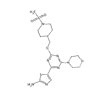 CS(=O)(=O)N1CCC(COc2nc(-c3cnc(N)s3)nc(N3CCOCC3)n2)CC1